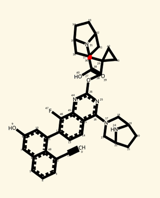 C#Cc1cccc2cc(O)cc(-c3ccc4c(N5CC6CCC(C5)N6)nc(OCC5(CN6C7CCC6CC(C(=O)O)C7)CC5)nc4c3F)c12